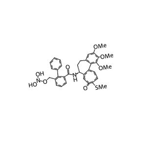 COc1cc2c(c(OC)c1OC)-c1ccc(SC)c(=O)cc1[C@@H](NC(=O)c1cccc(CON(O)O)c1-c1ccccc1)CC2